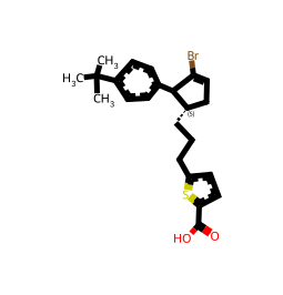 CC(C)(C)c1ccc(C2C(Br)=CC[C@@H]2CCCc2ccc(C(=O)O)s2)cc1